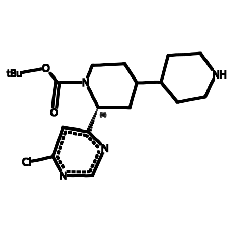 CC(C)(C)OC(=O)N1CCC(C2CCNCC2)C[C@@H]1c1cc(Cl)ncn1